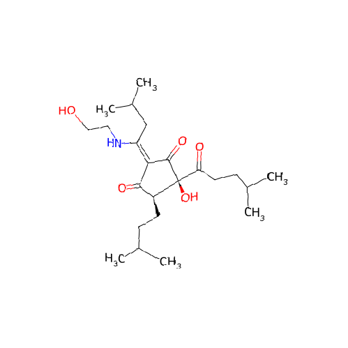 CC(C)CCC(=O)[C@@]1(O)C(=O)C(=C(CC(C)C)NCCO)C(=O)[C@@H]1CCC(C)C